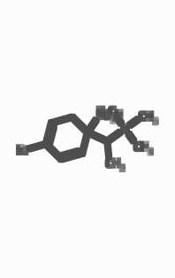 CCC1=CCC(C(C)[Si](C)(C)C)(S(=O)(=O)O)C=C1